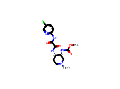 CC(C)(C)OC(=O)N[C@@H]1CN(C=O)CC[C@@H]1NC(=O)C(=O)Nc1ccc(Cl)cn1